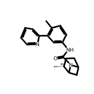 Cc1ccc(NC(=O)N2C3CC[C@@H](C)C2C3)cc1-c1ccccn1